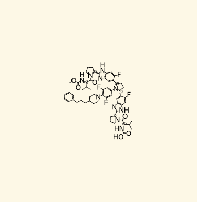 COC(=O)N[C@H](C(=O)N1CCC[C@H]1c1nc2cc([C@H]3CC[C@H](c4cc5nc([C@@H]6CCCN6C(=O)[C@@H](NC(=O)O)C(C)C)[nH]c5cc4F)N3c3cc(F)c(N4CCC(CCCc5ccccc5)CC4)c(F)c3)c(F)cc2[nH]1)C(C)C